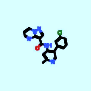 Cc1cc(NC(=O)c2cnn3cccnc23)c(-c2cccc(Cl)c2)cn1